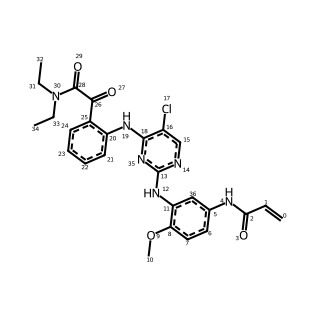 C=CC(=O)Nc1ccc(OC)c(Nc2ncc(Cl)c(Nc3ccccc3C(=O)C(=O)N(CC)CC)n2)c1